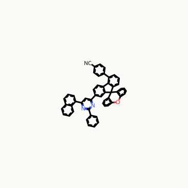 N#Cc1ccc(-c2cccc3c2-c2ccc(-c4cc(-c5cccc6ccccc56)nc(-c5ccccc5)n4)cc2C32c3ccccc3Oc3ccccc32)cc1